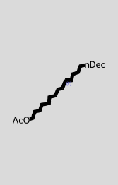 CCCCCCCCCCCCC/C=C/CCCCCCCCCOC(C)=O